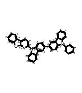 c1ccc(-n2c3ccccc3c3cc(-c4ccc5c(c4)c4ccccc4n5-c4ccc5c(n4)oc4ccccc45)ccc32)cc1